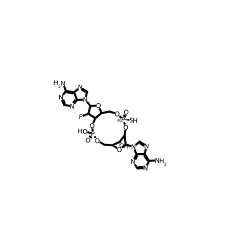 Nc1ncnc2c1ncn2C1OC2CO[P@@](=O)(S)OC3C(O)C(COP(=O)(O)OC2C1F)OC3n1cnc2c(N)ncnc21